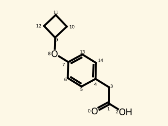 O=C(O)Cc1ccc(OC2CCC2)cc1